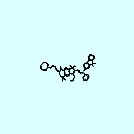 C=C1/C(=C\C=C/CC2=CCC/C=C\C=C/2)CC(C)(C)c2cc3c(cc21)C(C)(C)C(/C=C/N(c1ccccc1)c1ccc2c(c1)C(C)(C)c1ccccc1-2)=C3/C=C\C